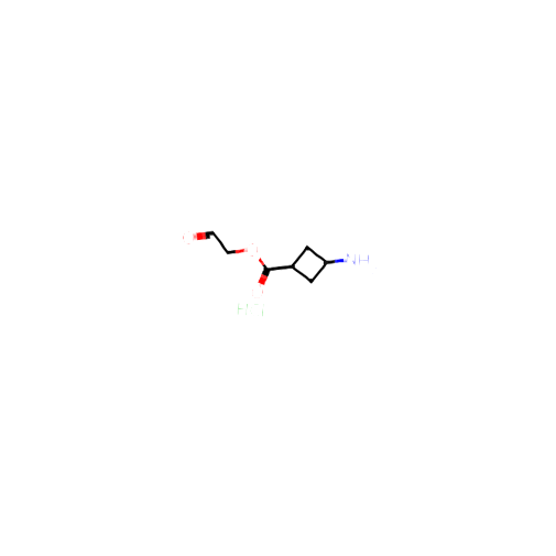 Cl.NC1CC(C(=O)OCC=O)C1